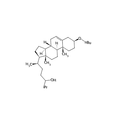 CCCCO[C@H]1CC[C@@]2(C)C(=CC[C@H]3[C@@H]4CC[C@H]([C@H](C)CCC(O)C(C)C)[C@@]4(C)CC[C@@H]32)C1